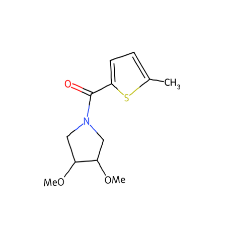 COC1CN(C(=O)c2ccc(C)s2)CC1OC